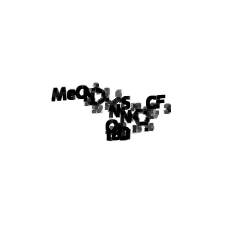 CO[n+]1ccc(-c2csc(N(C(=O)OC(C)(C)C)c3cccc(C(F)(F)F)c3)n2)cc1